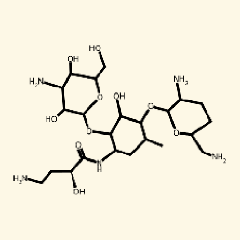 CC1CC(NC(=O)[C@@H](O)CCN)C(OC2OC(CO)C(O)C(N)C2O)C(O)C1OC1OC(CN)CCC1N